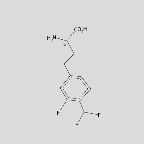 N[C@@H](CCc1ccc(C(F)F)c(F)c1)C(=O)O